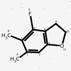 Cc1cc2c(c(F)c1C)CCO2